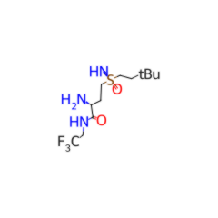 CC(C)(C)CCS(=N)(=O)CC[C@H](N)C(=O)NCC(F)(F)F